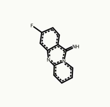 N=c1c2ccc(F)cc2nc2ccccn12